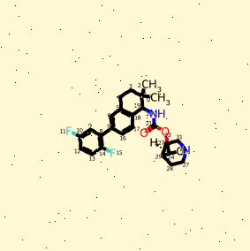 CC1(C)CCc2cc(-c3cc(F)ccc3F)ccc2C1NC(=O)O[C@H]1CN2CCC1CC2